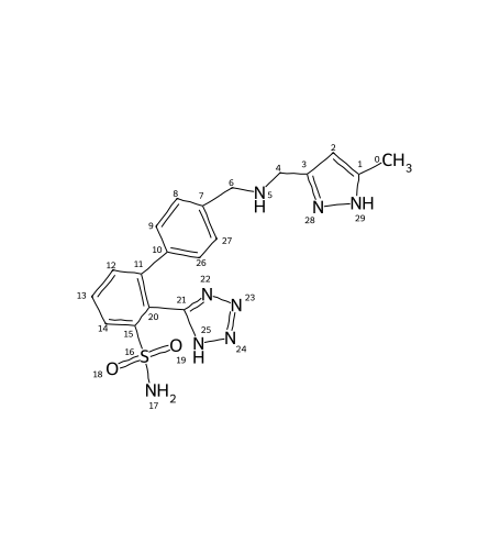 Cc1cc(CNCc2ccc(-c3cccc(S(N)(=O)=O)c3-c3nnn[nH]3)cc2)n[nH]1